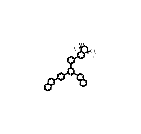 CC1(C)CCC(C)(C)c2cc(-c3cccc(-c4nc(-c5ccc(-c6ccc7ccccc7c6)cc5)nc(-c5ccc6ccccc6c5)n4)c3)ccc21